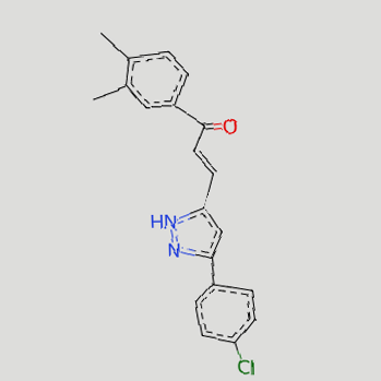 Cc1ccc(C(=O)C=Cc2cc(-c3ccc(Cl)cc3)n[nH]2)cc1C